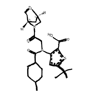 CC1CCC(C(=O)N(CC(=O)N2C[C@H]3C[C@H]2CO3)c2cc(C(C)(C)C)sc2C(=O)O)CC1